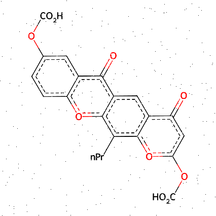 CCCc1c2oc(OC(=O)O)cc(=O)c2cc2c(=O)c3cc(OC(=O)O)ccc3oc12